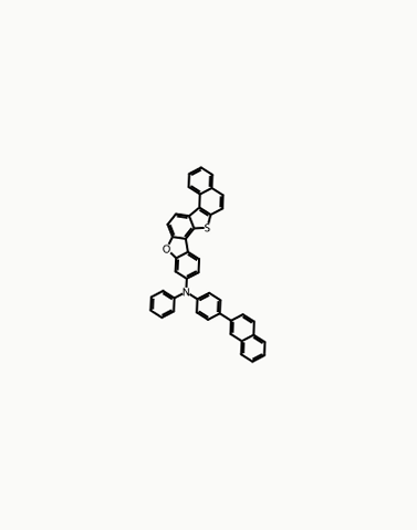 c1ccc(N(c2ccc(-c3ccc4ccccc4c3)cc2)c2ccc3c(c2)oc2ccc4c(sc5ccc6ccccc6c54)c23)cc1